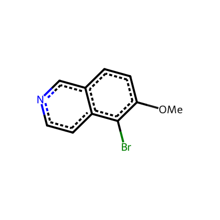 COc1ccc2cnccc2c1Br